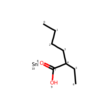 CCCCC(CC)C(=O)O.[Sn]